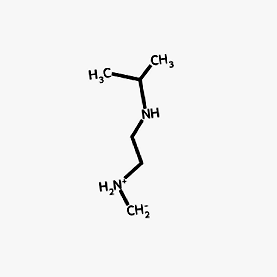 [CH2-][NH2+]CCNC(C)C